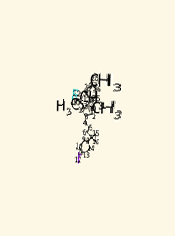 C[C@@H](CC(CCCC1(C2CCC(I)CC2)CC1)CCC(C)(C)F)C[C@H]1CC[C@@H](C)CC1